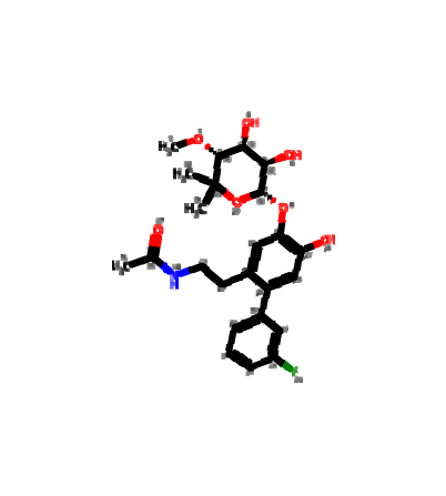 CO[C@@H]1[C@@H](O)[C@@H](O)[C@H](Oc2cc(CCNC(C)=O)c(-c3cccc(F)c3)cc2O)OC1(C)C